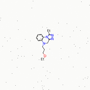 CCOCCCN1Cc2nnc(CC)n2-c2ccccc21